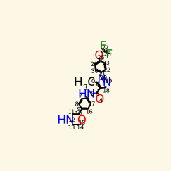 Cc1c(C(=O)Nc2ccc(C3CNCCO3)cc2)cnn1-c1ccc(OC(F)F)cc1